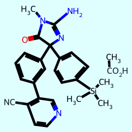 CC(=O)O.CN1C(=O)C(c2ccc([Si](C)(C)C)cc2)(c2cccc(-c3cnccc3C#N)c2)N=C1N